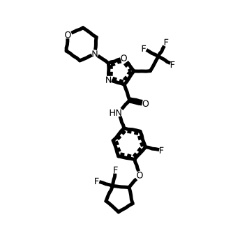 O=C(Nc1ccc(OC2CCCC2(F)F)c(F)c1)c1nc(N2CCOCC2)oc1CC(F)(F)F